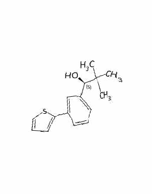 CC(C)(C)[C@H](O)c1cccc(-c2cccs2)c1